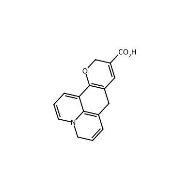 O=C(O)C1=CC2=C(OC1)C1=CC=CN3CC=CC(=C13)C2